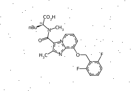 CCCC[C@@H](C(=O)O)N(C)C(=O)c1c(C)nc2c(OCc3c(F)cccc3F)cccn12